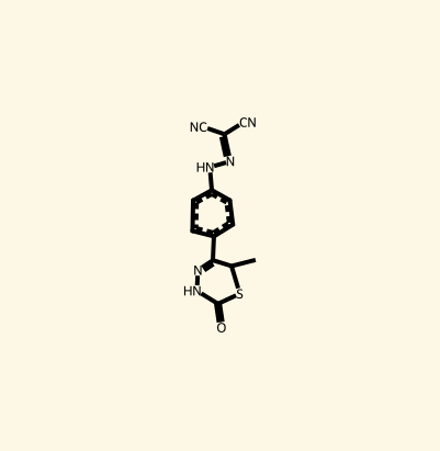 CC1SC(=O)NN=C1c1ccc(NN=C(C#N)C#N)cc1